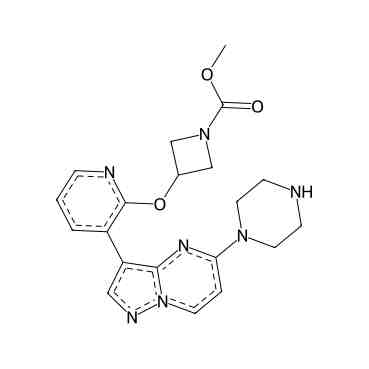 COC(=O)N1CC(Oc2ncccc2-c2cnn3ccc(N4CCNCC4)nc23)C1